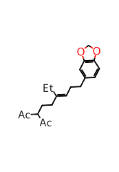 CC/C(=C\CCc1ccc2c(c1)OCO2)CCC(C(C)=O)C(C)=O